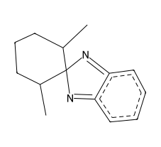 CC1CCCC(C)C12N=c1ccccc1=N2